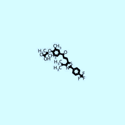 Cc1cc(C(=O)C=Cc2sc(-c3ccc(C(F)(F)F)cc3)nc2C(C)C)ccc1OC(C)(C)C(=O)O